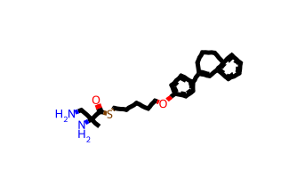 CC(N)(CN)C(=O)SCCCCCOc1ccc(C2=Cc3ccccc3CCC2)cc1